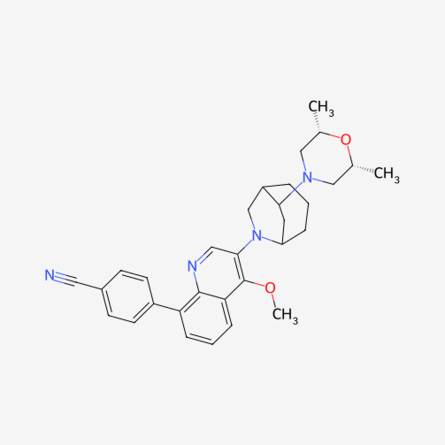 COc1c(N2CC3CCCC2CC3N2C[C@@H](C)O[C@@H](C)C2)cnc2c(-c3ccc(C#N)cc3)cccc12